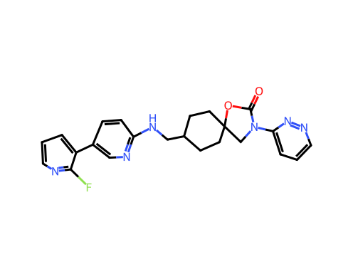 O=C1OC2(CCC(CNc3ccc(-c4cccnc4F)cn3)CC2)CN1c1cccnn1